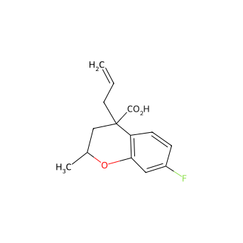 C=CCC1(C(=O)O)CC(C)Oc2cc(F)ccc21